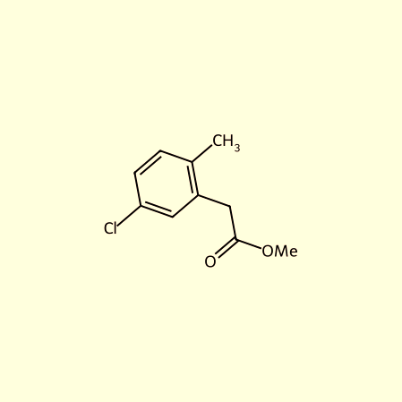 COC(=O)Cc1cc(Cl)ccc1C